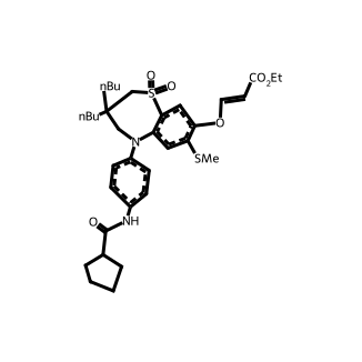 CCCCC1(CCCC)CN(c2ccc(NC(=O)C3CCCC3)cc2)c2cc(SC)c(O/C=C/C(=O)OCC)cc2S(=O)(=O)C1